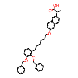 CC(C(=O)O)c1ccc2cc(OCCCCCCc3cccc(OCc4ccccc4)c3OCc3ccccc3)ccc2c1